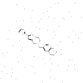 c1coc(-c2cc3n(n2)CCN(Cc2cnc4c(c2)CCCO4)C3)n1